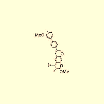 COC(=O)[C@@H](C)C(c1ccc2c(c1)CC(c1ccc(-c3ccnc(OC)c3)cc1)CO2)C1CC1